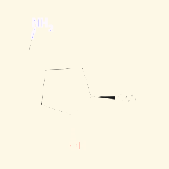 CS[C@@H]1C[C@@H](CN)C[C@H]1O